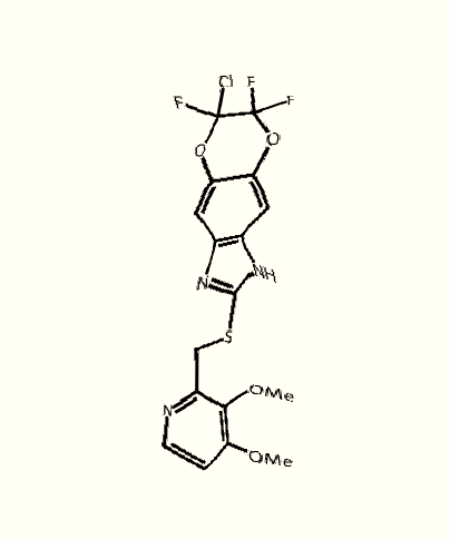 COc1ccnc(CSc2nc3cc4c(cc3[nH]2)OC(F)(F)C(F)(Cl)O4)c1OC